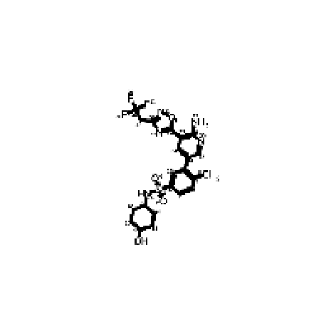 Cc1ccc(S(=O)(=O)NC2CCC(O)CC2)cc1-c1cnc(N)c(-c2nc(CC(F)(F)F)no2)c1